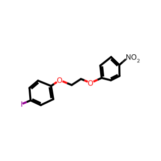 O=[N+]([O-])c1ccc(OCCOc2ccc(I)cc2)cc1